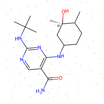 CC1CCC(Nc2nc(NC(C)(C)C)ncc2C(N)=O)C[C@@]1(C)O